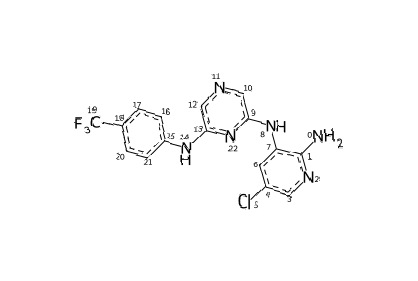 Nc1ncc(Cl)cc1Nc1cncc(Nc2ccc(C(F)(F)F)cc2)n1